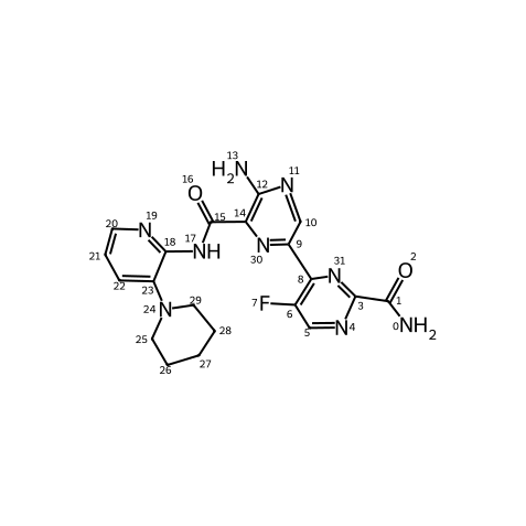 NC(=O)c1ncc(F)c(-c2cnc(N)c(C(=O)Nc3ncccc3N3CCCCC3)n2)n1